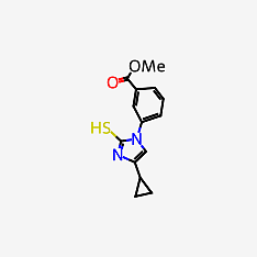 COC(=O)c1cccc(-n2cc(C3CC3)nc2S)c1